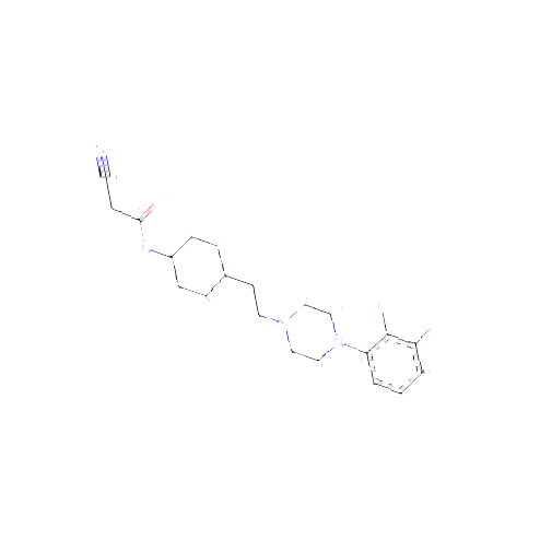 N#CCC(=O)NC1CCC(CCN2CCN(c3cccc(Cl)c3F)CC2)CC1